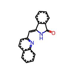 O=C1NC(=Cc2ccc3ccccc3n2)c2ccccc21